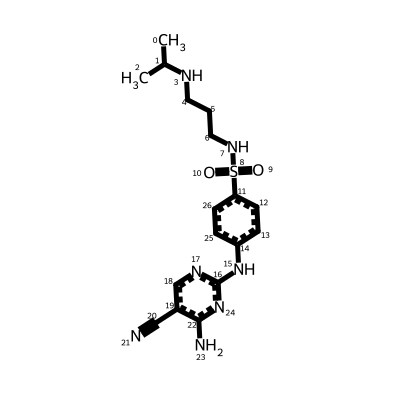 CC(C)NCCCNS(=O)(=O)c1ccc(Nc2ncc(C#N)c(N)n2)cc1